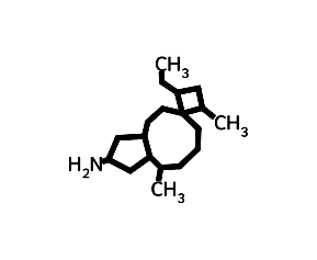 CCC1CC(C)C12CCCC(C)C1CC(N)CC1CC2